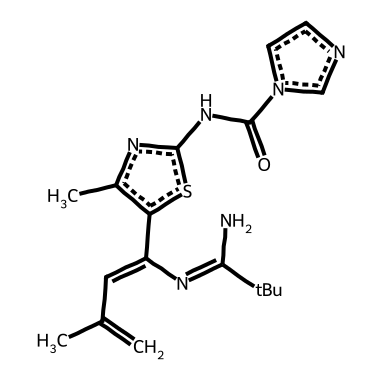 C=C(C)/C=C(\N=C(/N)C(C)(C)C)c1sc(NC(=O)n2ccnc2)nc1C